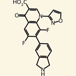 O=C(O)c1cn(-c2ccon2)c2c(F)c(-c3ccc4c(c3)CNC4)c(F)cc2c1=O